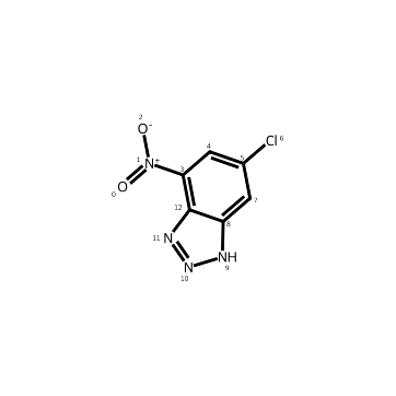 O=[N+]([O-])c1cc(Cl)cc2[nH]nnc12